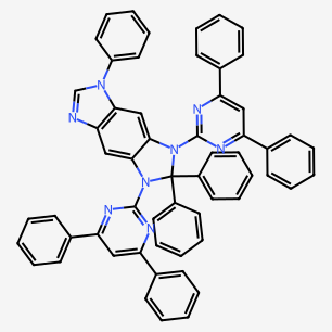 c1ccc(-c2cc(-c3ccccc3)nc(N3c4cc5ncn(-c6ccccc6)c5cc4N(c4nc(-c5ccccc5)cc(-c5ccccc5)n4)C3(c3ccccc3)c3ccccc3)n2)cc1